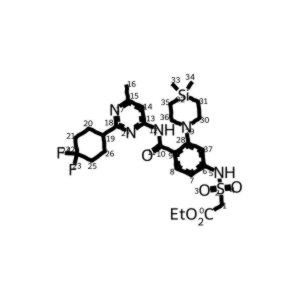 CCOC(=O)CS(=O)(=O)Nc1ccc(C(=O)Nc2cc(C)nc(C3CCC(F)(F)CC3)n2)c(N2CC[Si](C)(C)CC2)c1